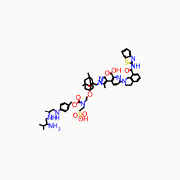 Cc1c(-c2ccc(N3CCc4cccc(C(=O)Nc5nc6ccccc6s5)c4C3)nc2C(=O)O)cnn1CC12CC3(C)CC(C)(C1)CC(OCCN(CCS(=O)(=O)O)C(=O)OCc1ccc(NC[C@H](C)NC[C@@H](N)C(C)C)cc1)(C3)C2